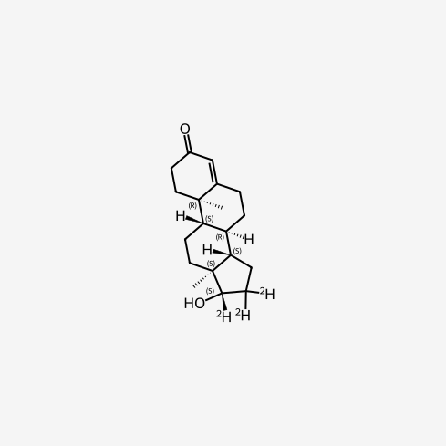 [2H]C1([2H])C[C@H]2[C@@H]3CCC4=CC(=O)CC[C@]4(C)[C@H]3CC[C@]2(C)[C@@]1([2H])O